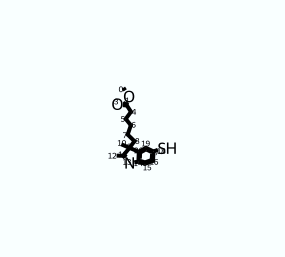 COC(=O)CCCCCC1(C)C(C)=Nc2ccc(S)cc21